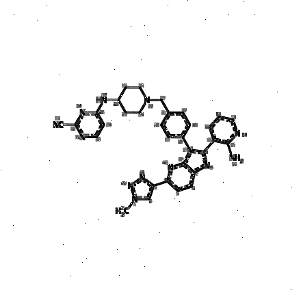 Cn1cc(-c2ccc3nc(-c4cccnc4N)n(-c4ccc(CN5CCC(Nc6ccnc(C#N)n6)CC5)cc4)c3n2)nn1